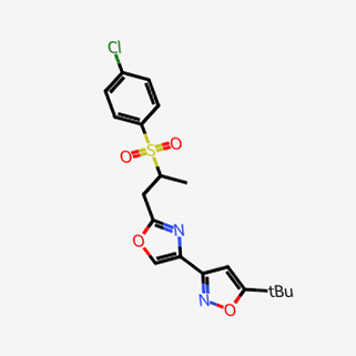 CC(Cc1nc(-c2cc(C(C)(C)C)on2)co1)S(=O)(=O)c1ccc(Cl)cc1